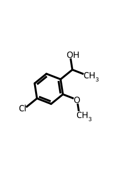 COc1cc(Cl)ccc1C(C)O